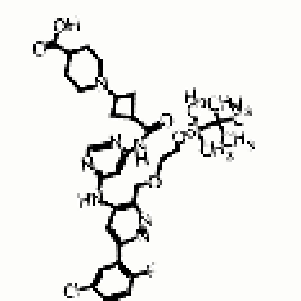 CC(C)(C)[Si](C)(C)OCCOCc1nnc(-c2cc(Cl)ccc2F)cc1Nc1cc(NC(=O)C2CC(N3CCC(C(=O)O)CC3)C2)ncn1